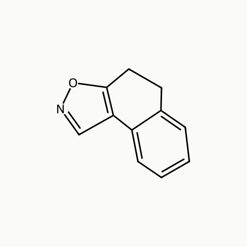 c1ccc2c(c1)CCc1oncc1-2